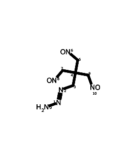 NN=NCC(CN=O)(CN=O)CN=O